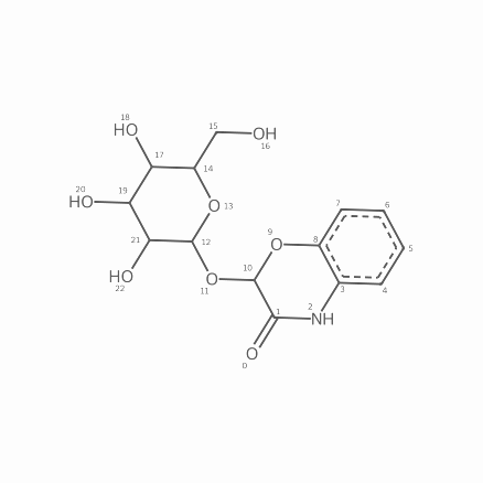 O=C1Nc2ccccc2OC1OC1OC(CO)C(O)C(O)C1O